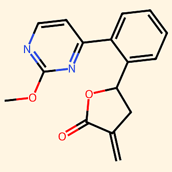 C=C1CC(c2ccccc2-c2ccnc(OC)n2)OC1=O